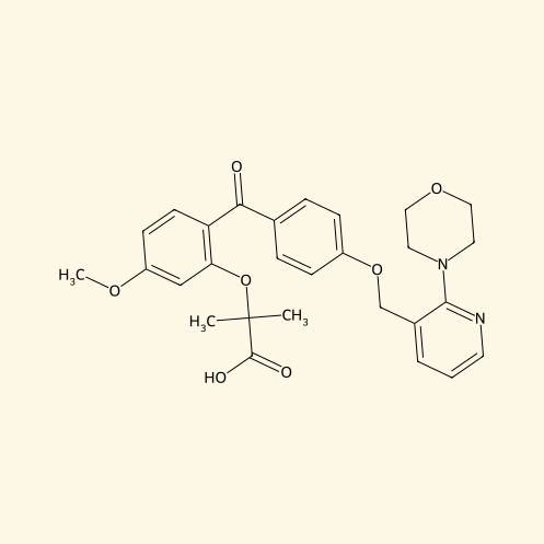 COc1ccc(C(=O)c2ccc(OCc3cccnc3N3CCOCC3)cc2)c(OC(C)(C)C(=O)O)c1